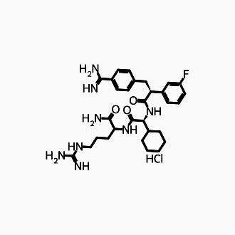 Cl.N=C(N)NCCCC(NC(=O)[C@@H](NC(=O)[C@@H](Cc1ccc(C(=N)N)cc1)c1cccc(F)c1)C1CCCCC1)C(N)=O